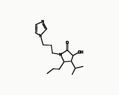 CCCC1C(C(C)C)C(O)C(=O)N1CCCn1ccnc1